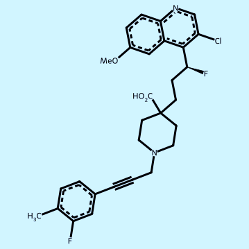 COc1ccc2ncc(Cl)c([C@@H](F)CCC3(C(=O)O)CCN(CC#Cc4ccc(C)c(F)c4)CC3)c2c1